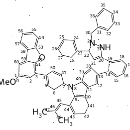 COc1cc(C2=CCC(n3c4c(c5cc(-c6ccccc6C6=CC(C7=CC=CCC7)N(Cc7ccccc7)N6)ccc53)CCC=C4C=C(C)C)C=C2)c2oc3ccccc3c2c1